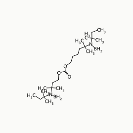 BN(C(C)(C)CC)C(C)(C)CCCCOC(=O)OCCC(C)(C)N(B)C(C)(C)CC